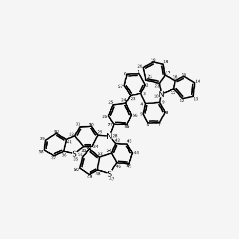 c1ccc(-c2ccccc2-n2c3ccccc3c3ccccc32)c(-c2ccc(N(c3ccc4c(c3)sc3ccccc34)c3cccc4sc5ccccc5c34)cc2)c1